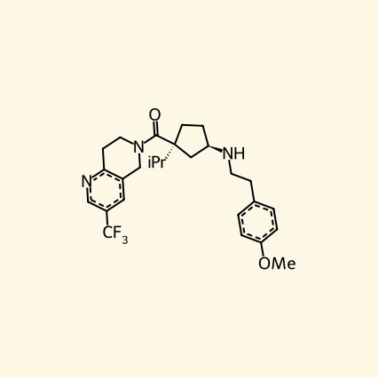 COc1ccc(CCN[C@@H]2CC[C@@](C(=O)N3CCc4ncc(C(F)(F)F)cc4C3)(C(C)C)C2)cc1